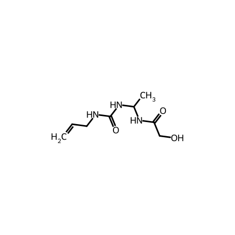 C=CCNC(=O)NC(C)NC(=O)CO